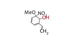 C=CC1=CC=CC(OC)([N+](=O)[O-])C1O